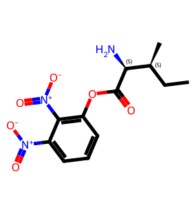 CC[C@H](C)[C@H](N)C(=O)Oc1cccc([N+](=O)[O-])c1[N+](=O)[O-]